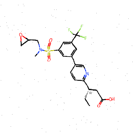 CC[C@@H](CC(=O)O)c1ccc(-c2cc(C(F)(F)F)cc(S(=O)(=O)N(C)CC3CO3)c2)cn1